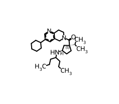 CCCC(CCC)N[C@@H]1CC[C@@](C(=O)N2CCc3ncc(C4CCCCC4)cc3C2)(C(C)C)C1